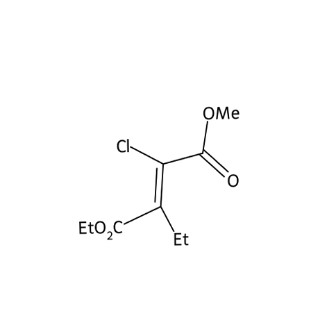 CCOC(=O)C(CC)=C(Cl)C(=O)OC